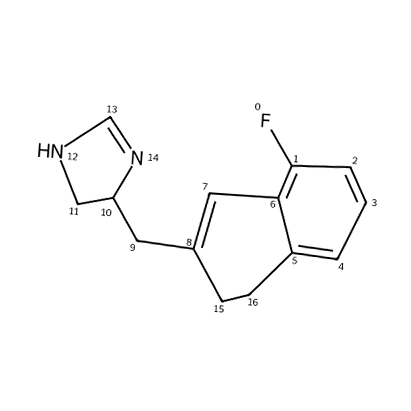 Fc1cccc2c1C=C(CC1CNC=N1)CC2